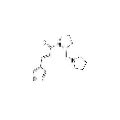 O=C(/C=C/c1ccsc1)N1CCC[C@H]1CN1CCCC1